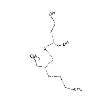 CCCCC(CC)COC(O)CCO